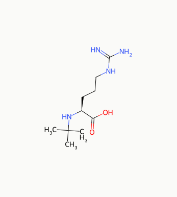 CC(C)(C)N[C@@H](CCCNC(=N)N)C(=O)O